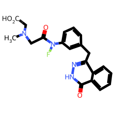 CN(CC(=O)O)CC(=O)N(F)c1cccc(Cc2n[nH]c(=O)c3ccccc23)c1